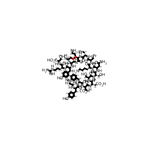 CC(C)CC(NC(=O)[C@H](CCCCN)NC(=O)C(CC(N)=O)NC(=O)[C@H](CO)NC(=O)C(CO)NC(=O)[C@H](CC(=O)O)NC(=O)C(CC(=O)O)NC(=O)[C@H](Cc1ccccc1)NC(=O)C(Cc1ccc(O)cc1)NC(=O)CNN)C(=O)N[C@@H](CC(C)C)C(=O)NC(CCCCN)C(=O)N[C@@H](CCCCN)C(=O)NC(Cc1ccc(O)cc1)C(=O)N[C@@H](CCCNC(=N)N)C(=O)NC(CO)C(=O)O